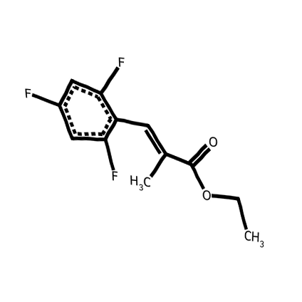 CCOC(=O)/C(C)=C/c1c(F)cc(F)cc1F